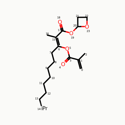 C=C(C)C(=O)OC(CCCCCCCC(C)C)=C(C)C(=O)OC1CCO1